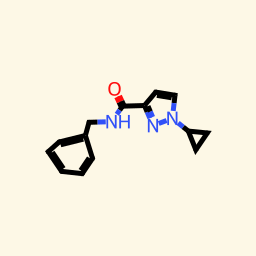 O=C(NCc1ccccc1)c1ccn(C2CC2)n1